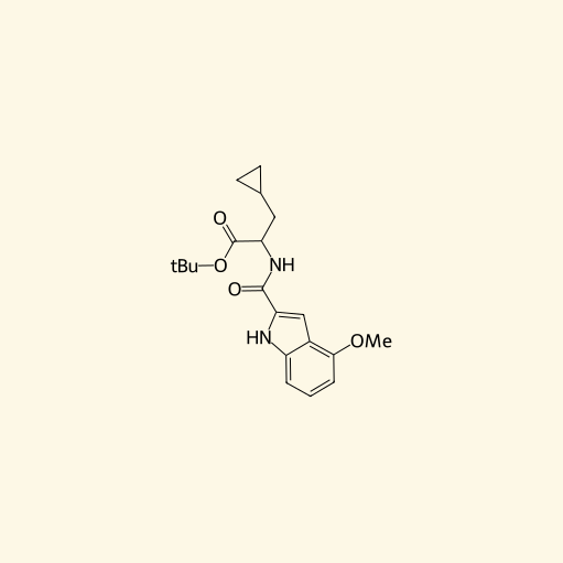 COc1cccc2[nH]c(C(=O)NC(CC3CC3)C(=O)OC(C)(C)C)cc12